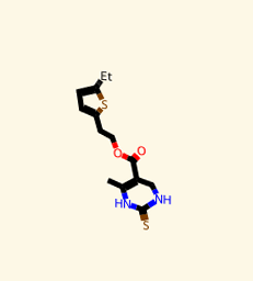 CCc1ccc(CCOC(=O)C2=C(C)NC(=S)NC2)s1